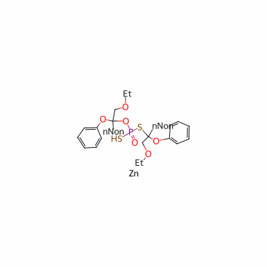 CCCCCCCCCC(COCC)(Oc1ccccc1)OP(=O)(S)SC(CCCCCCCCC)(COCC)Oc1ccccc1.[Zn]